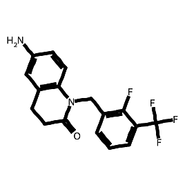 Nc1ccc2c(c1)CCC(=O)N2Cc1cccc(C(F)(F)F)c1F